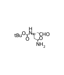 CC(C)(C)OC(=O)N[C@H](CC=O)CC(N)=O